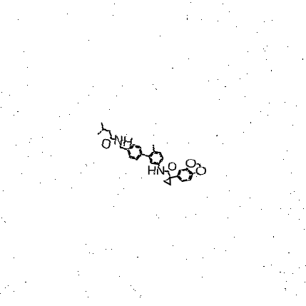 Cc1ccc(NC(=O)C2(c3ccc4c(c3)OCO4)CC2)cc1-c1ccc(CNC(=O)CC(C)C)cc1